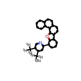 [2H]C([2H])([2H])c1cnc(-c2cccc3c2oc2c3ccc3ccc4ccccc4c32)cc1C([2H])([2H])C(C)(C)C